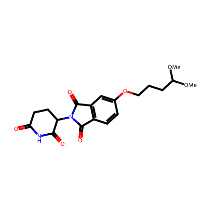 COC(CCCOc1ccc2c(c1)C(=O)N(C1CCC(=O)NC1=O)C2=O)OC